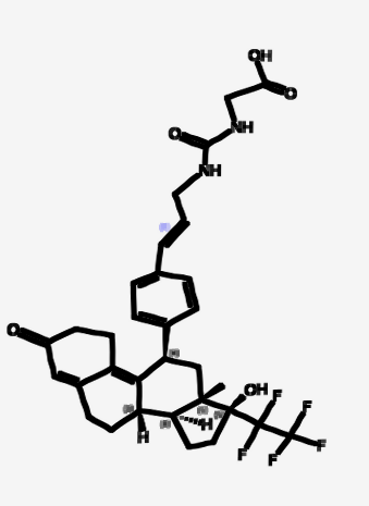 C[C@]12C[C@H](c3ccc(/C=C/CNC(=O)NCC(=O)O)cc3)C3=C4CCC(=O)C=C4CC[C@H]3[C@@H]1CC[C@@]2(O)C(F)(F)C(F)(F)F